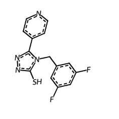 Fc1cc(F)cc(Cn2c(S)nnc2-c2ccncc2)c1